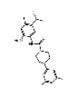 COc1cc(C)c(C(C)O)cc1NC(=O)N1CCN(c2cc(C)cc(C)c2)CC1